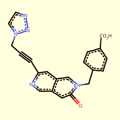 O=C(O)c1ccc(Cn2cc3cc(C#CCn4ccnn4)ncc3cc2=O)cc1